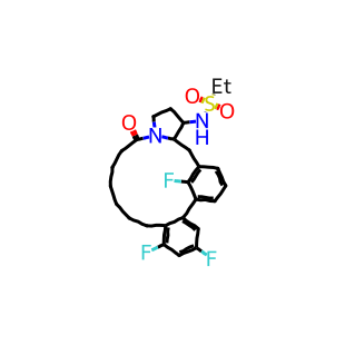 CCS(=O)(=O)NC1CCN2C(=O)CCCCCCc3c(F)cc(F)cc3-c3cccc(c3F)CC12